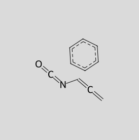 C=C=CN=C=O.c1ccccc1